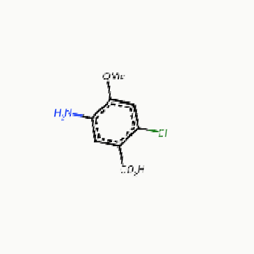 COc1cc(Cl)c(C(=O)O)cc1N